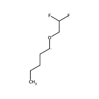 CCCC[CH]OCC(F)F